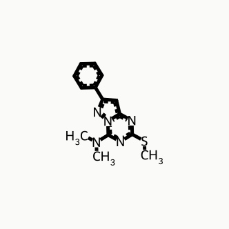 CSc1nc(N(C)C)n2nc(-c3ccccc3)cc2n1